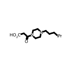 CC(C)CCCN1CCN(C(=O)CC(=O)O)CC1